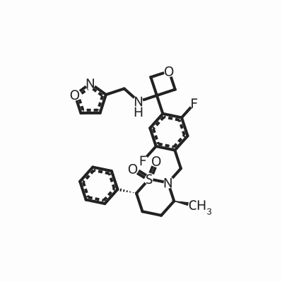 C[C@H]1CC[C@H](c2ccccc2)S(=O)(=O)N1Cc1cc(F)c(C2(NCc3ccon3)COC2)cc1F